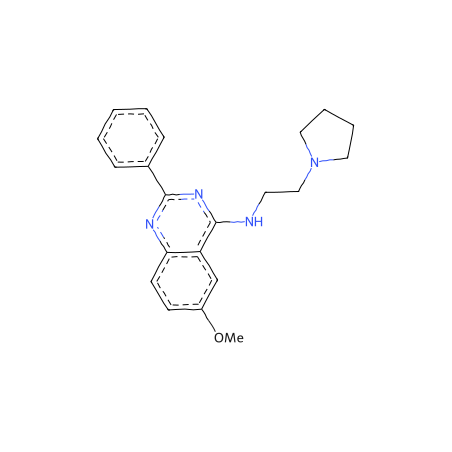 COc1ccc2nc(-c3ccccc3)nc(NCCN3CCCC3)c2c1